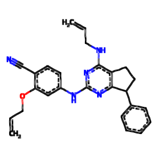 C=CCNc1nc(Nc2ccc(C#N)c(OCC=C)c2)nc2c1CCC2c1ccccc1